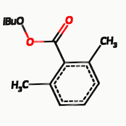 Cc1cccc(C)c1C(=O)OO[CH]C(C)C